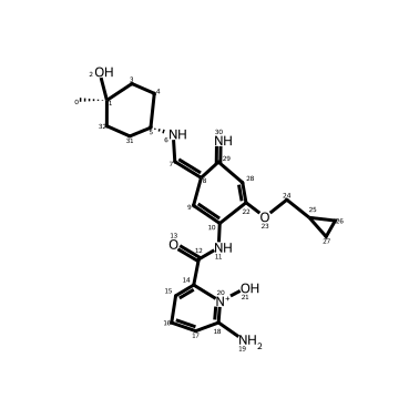 C[C@]1(O)CC[C@H](N/C=C2/C=C(NC(=O)c3cccc(N)[n+]3O)C(OCC3CC3)=CC2=N)CC1